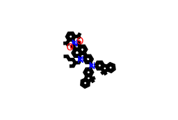 CCCCC(CC)Cn1c2cc(N(c3ccc4c(c3)C(C)(C)c3ccccc3-4)c3ccc4c(c3)C(C)(C)c3ccccc3-4)ccc2c2ccc3c(=O)n(-c4c(C(C)C)cccc4C(C)C)c(=O)c4ccc1c2c34